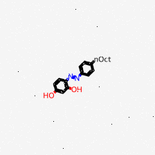 CCCCCCCCc1ccc(/N=N/c2ccc(O)cc2O)cc1